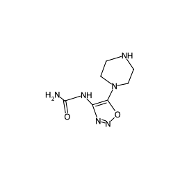 NC(=O)Nc1nnoc1N1CCNCC1